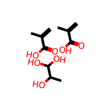 C=C(C)C(=O)O.C=C(C)C(=O)O.CC(O)C(O)O